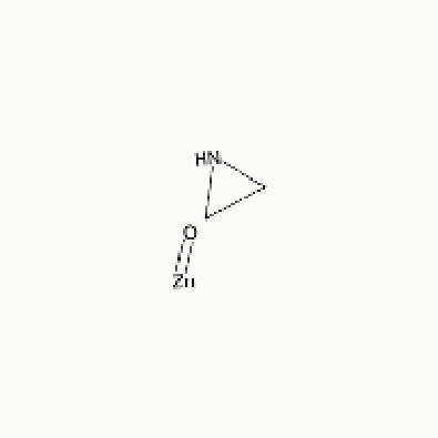 C1CN1.[O]=[Zn]